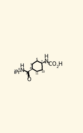 CC(C)NC(=O)[C@H]1CC[C@@H](NC(=O)O)CC1